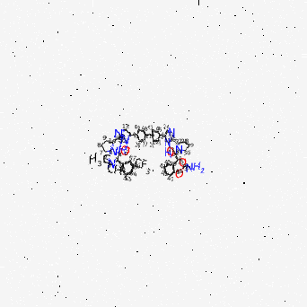 CN(C)C(C(=O)N1CCC[C@H]1c1ncc(-c2ccc(-c3ccc(-c4cnc([C@@H]5CCCN5C(=O)[C@H](OC(N)=O)c5ccccc5)[nH]4)cc3)cc2)[nH]1)c1cccc(C(F)(F)F)c1